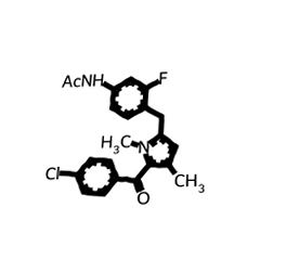 CC(=O)Nc1ccc(Cc2cc(C)c(C(=O)c3ccc(Cl)cc3)n2C)c(F)c1